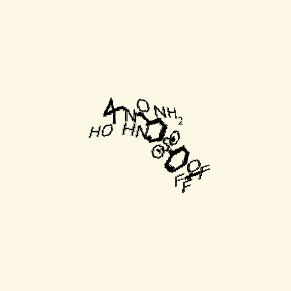 Nc1cc(S(=O)(=O)c2ccc(OC(F)(F)F)cc2)cnc1C(=O)NCC1(CO)CC1